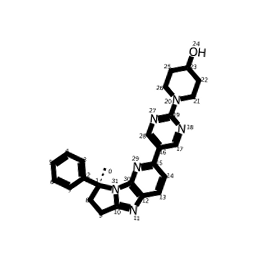 C[C@@]1(c2ccccc2)CCc2nc3ccc(-c4cnc(N5CCC(O)CC5)nc4)nc3n21